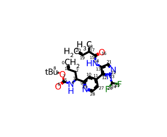 C=CCC(NC(=O)OC(C)(C)C)c1cc(-c2c(NC(=O)C(C)C=C)cnn2C(F)F)ccn1